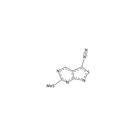 CSc1ncc2c([N+]#N)snc2n1